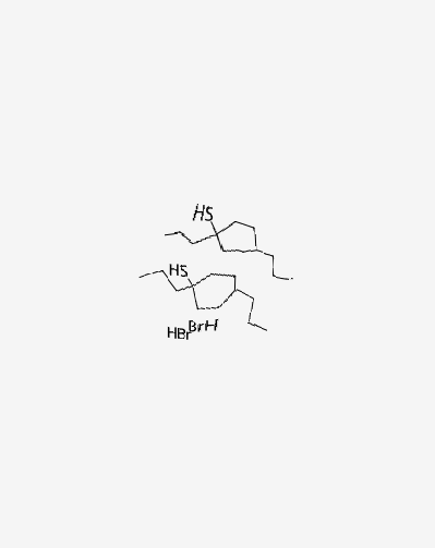 Br.Br.CCCC1CCC(S)(CCC)CC1.CCCC1CCC(S)(CCC)CC1